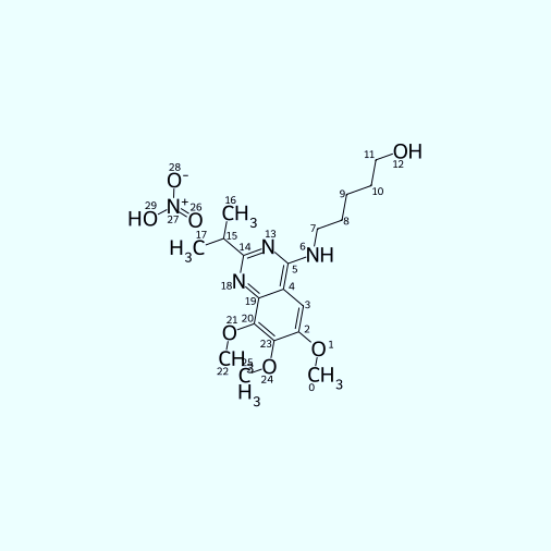 COc1cc2c(NCCCCCO)nc(C(C)C)nc2c(OC)c1OC.O=[N+]([O-])O